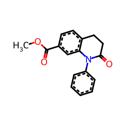 COC(=O)c1ccc2c(c1)N(c1ccccc1)C(=O)CC2